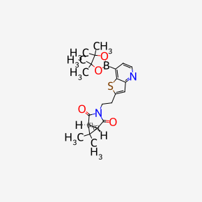 CC1(C)[C@H]2C(=O)N(CCc3cc4nccc(B5OC(C)(C)C(C)(C)O5)c4s3)C(=O)[C@@H]21